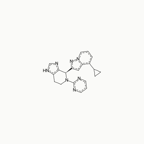 c1cnc(N2CCc3[nH]cnc3[C@H]2c2cc3c(C4CC4)cccn3n2)nc1